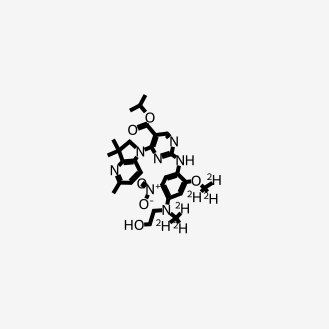 [2H]C([2H])([2H])Oc1cc(N(CCO)C([2H])([2H])[2H])c([N+](=O)[O-])cc1Nc1ncc(C(=O)OC(C)C)c(N2CC(C)(C)c3nc(C)ccc32)n1